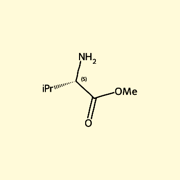 [CH2]OC(=O)[C@@H](N)C(C)C